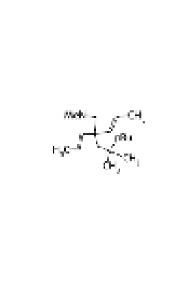 CC=CC(C=CC)(CNC)CC(C)(C)CCCC